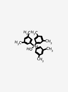 Cc1cc(C)cc([PH](O)(c2cc(C)cc(C)c2)c2cc(C)cc(C)c2)c1